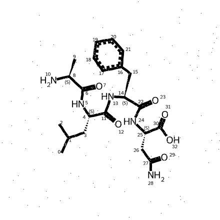 CC(C)C[C@H](NC(=O)[C@H](C)N)C(=O)N[C@@H](Cc1ccccc1)C(=O)N[C@@H](CC(N)=O)C(=O)O